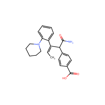 C/C=C(/c1ccccc1N1CCCCC1)C(C(N)=O)c1ccc(C(=O)O)cc1